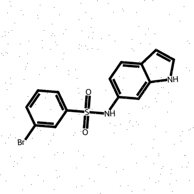 O=S(=O)(Nc1ccc2cc[nH]c2c1)c1cccc(Br)c1